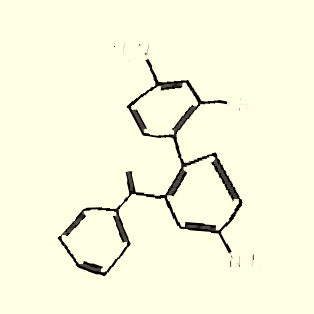 C=C(c1ccccc1)c1cc(N)ccc1-c1ccc(N)cc1C